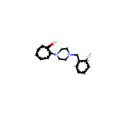 O=c1cccccc1N1CCN(Cc2ccccc2Cl)CC1